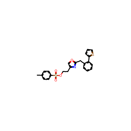 Cc1ccc(S(=O)(=O)OCCc2coc(Cc3ccccc3-c3cccs3)n2)cc1